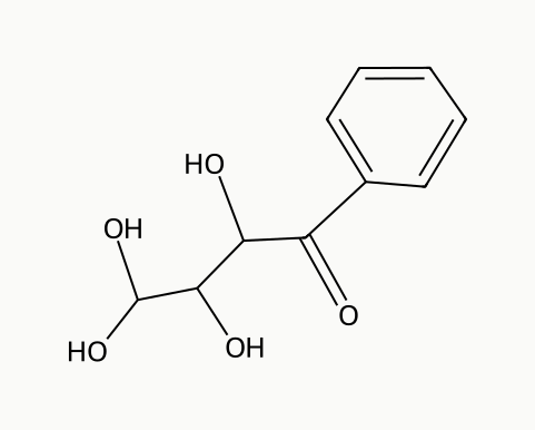 O=C(c1ccccc1)C(O)C(O)C(O)O